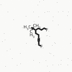 CC(C)(C)C(CCC#CCF)CCCF